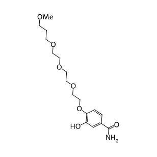 COCCCOCCOCCOCCOc1ccc(C(N)=O)cc1O